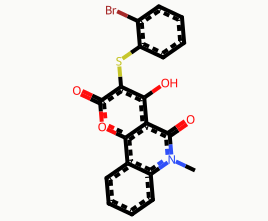 Cn1c(=O)c2c(O)c(Sc3ccccc3Br)c(=O)oc2c2ccccc21